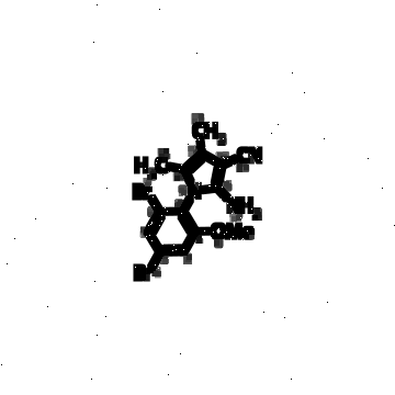 COc1cc(Br)cc(Br)c1-n1c(C)c(C)c(C#N)c1N